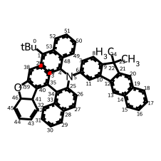 CC(C)(C)c1ccc(N(c2ccc3c(c2)-c2cc4ccccc4cc2C3(C)C)c2ccc3ccccc3c2-c2cccc3c2C2C=CC=CC2O3)c2ccccc12